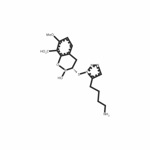 COc1ccc2c(c1C(=O)O)OB(O)[C@@H](Sn1nncc1CCCCN)C2